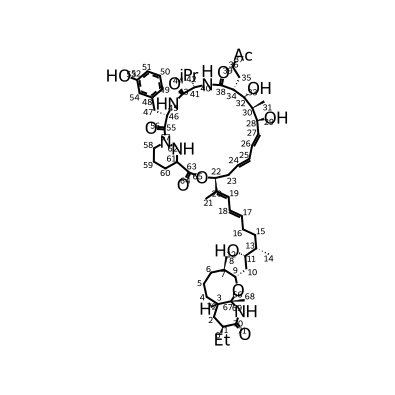 CC[C@H]1C[C@@H]2CCC[C@@H](C)[C@H](C[C@H](O)[C@@H](C)CC/C=C/C=C(\C)[C@@H]3C/C=C/C=C/[C@H](O)[C@H](C)[C@@H](O)[C@@H](CCC(C)=O)C(=O)N[C@@H](C(C)C)C(=O)N[C@@H](Cc4cccc(O)c4)C(=O)N4CCCC(N4)C(=O)O3)O[C@]2(C)NC1=O